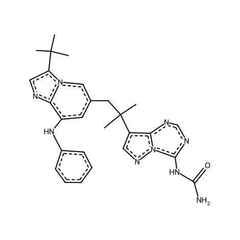 CC(C)(C)c1cnc2c(Nc3ccccc3)cc(CC(C)(C)c3cnn4c(NC(N)=O)ncnc34)cn12